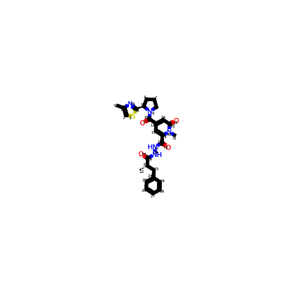 Cc1csc([C@H]2CCCN2C(=O)c2cc(C(=O)NNC(=O)[C@@H](C)Cc3ccccc3)n(C)c(=O)c2)n1